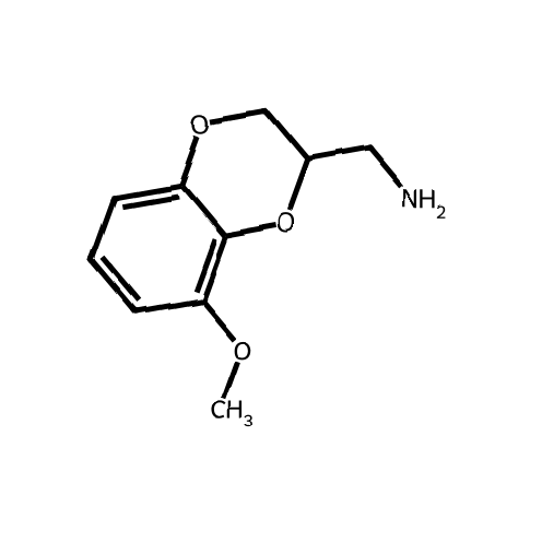 COc1cccc2c1OC(CN)CO2